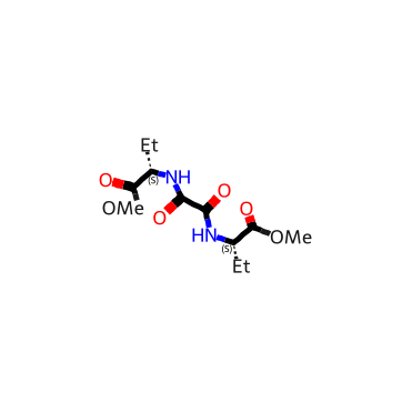 CC[C@H](NC(=O)C(=O)N[C@@H](CC)C(=O)OC)C(=O)OC